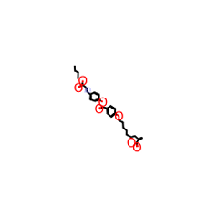 C=C1CC(CCCCCOc2ccc(C(=O)Oc3ccc(/C=C/C(=O)OCCCC)cc3)cc2)OC1=O